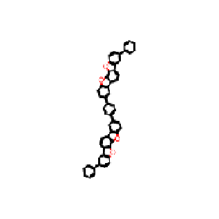 C1=CC2Oc3c(ccc4c3oc3ccc(-c5ccccc5)cc34)C2C=C1c1ccc(-c2ccc3oc4c(ccc5c6cc(-c7ccccc7)ccc6oc54)c3c2)cc1